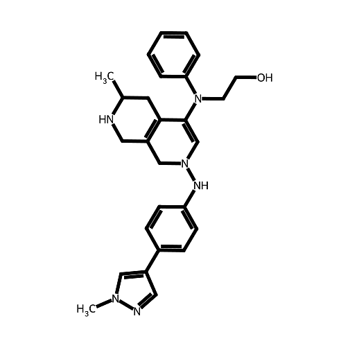 CC1CC2=C(CN1)CN(Nc1ccc(-c3cnn(C)c3)cc1)C=C2N(CCO)c1ccccc1